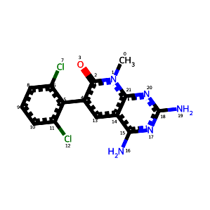 Cn1c(=O)c(-c2c(Cl)cccc2Cl)cc2c(N)nc(N)nc21